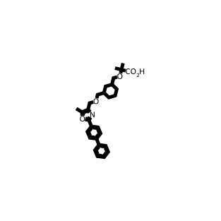 Cc1oc(-c2ccc(-c3ccccc3)cc2)nc1COCC1CCCC(COC(C)(C)C(=O)O)C1